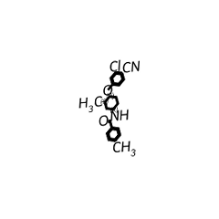 Cc1ccc(C(=O)N[C@@H]2CC[C@@H](Oc3ccc(C#N)c(Cl)c3)[C@@H](C)C2)cc1